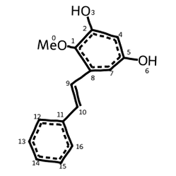 COc1c(O)cc(O)cc1/C=C/c1ccccc1